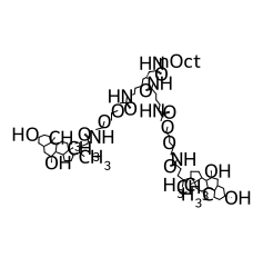 CCCCCCCCNC(=O)C[C@H](CCCCNC(=O)COCCOCCNC(=O)CCC(C)[C@H]1CCC2C3C(CC[C@@]21C)[C@@]1(C)CC[C@@H](O)CC1C[C@@H]3O)NC(=O)CCCNC(=O)COCCOCCNC(=O)CCC(C)[C@H]1CCC2C3C(CC[C@@]21C)[C@@]1(C)CC[C@@H](O)CC1C[C@@H]3O